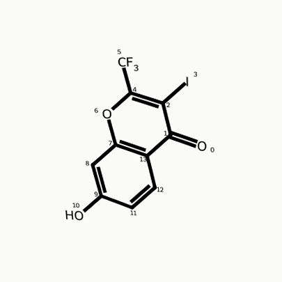 O=c1c(I)c(C(F)(F)F)oc2cc(O)ccc12